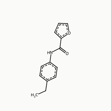 CCc1ccc(NC(=O)c2ccco2)cc1